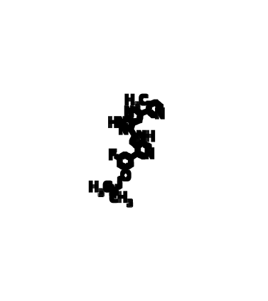 Cc1ccncc1-c1cnc2[nH]nc(-c3cc4c(-c5cc(F)cc(OCCN(C)C)c5)cncc4[nH]3)c2c1